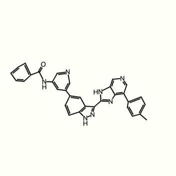 Cc1ccc(-c2cncc3[nH]c(-c4n[nH]c5ccc(-c6cncc(NC(=O)c7ccccc7)c6)cc45)nc23)cc1